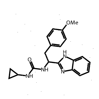 COc1ccc(CC(NC(=O)NC2CC2)c2nc3ccccc3[nH]2)cc1